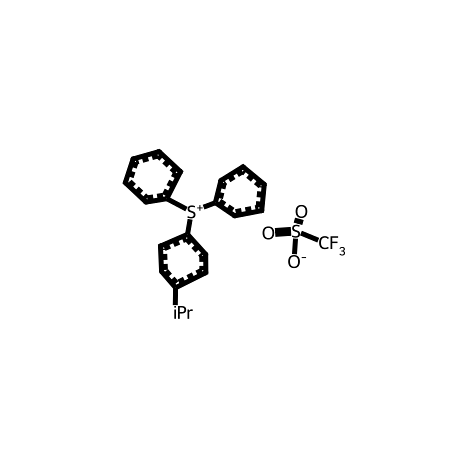 CC(C)c1ccc([S+](c2ccccc2)c2ccccc2)cc1.O=S(=O)([O-])C(F)(F)F